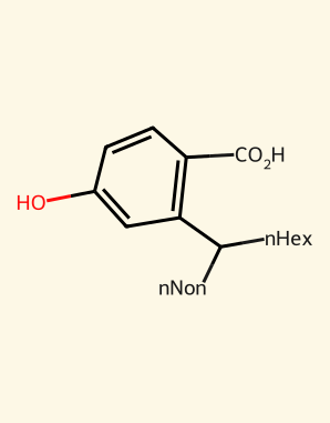 CCCCCCCCCC(CCCCCC)c1cc(O)ccc1C(=O)O